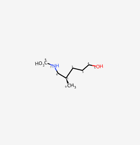 C[C@H](CCCO)CNC(=O)O